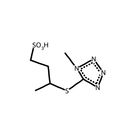 CC(CCS(=O)(=O)O)Sc1nnnn1C